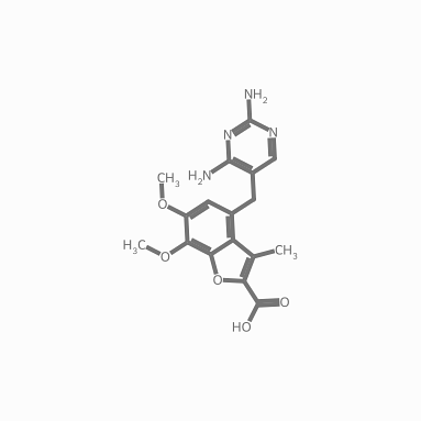 COc1cc(Cc2cnc(N)nc2N)c2c(C)c(C(=O)O)oc2c1OC